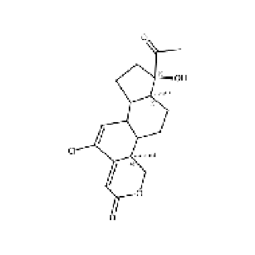 CC(=O)[C@@]1(O)CCC2C3C=C(Cl)C4=CC(=O)OC[C@]4(C)C3CC[C@@]21C